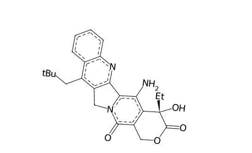 CC[C@@]1(O)C(=O)OCc2c1c(N)c1n(c2=O)Cc2c-1nc1ccccc1c2CC(C)(C)C